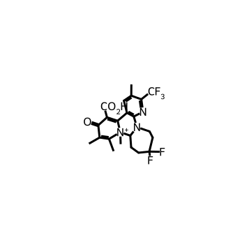 CC1=C(C)[N+]2(C)C(=C(C(=O)O)C1=O)c1cc(C)c(C(F)(F)F)nc1N1CCC(F)(F)CCC12